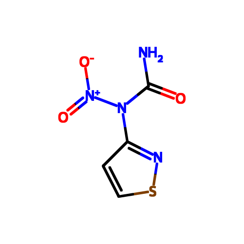 NC(=O)N(c1ccsn1)[N+](=O)[O-]